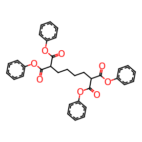 O=C(Oc1ccccc1)C(CCCCC(C(=O)Oc1ccccc1)C(=O)Oc1ccccc1)C(=O)Oc1ccccc1